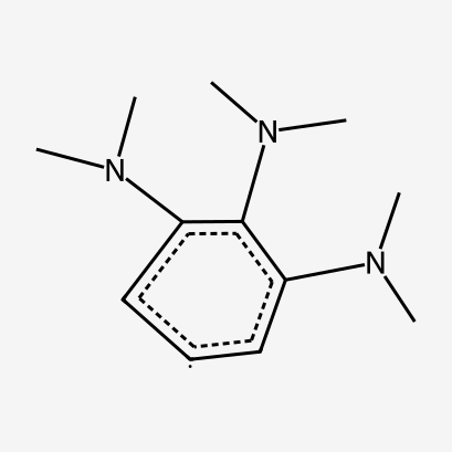 CN(C)c1c[c]cc(N(C)C)c1N(C)C